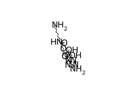 NCCCCCCNC(=O)COC[C@H]1O[C@@H](n2cnc3c(N)ncnc32)[C@H](O)[C@@H]1O